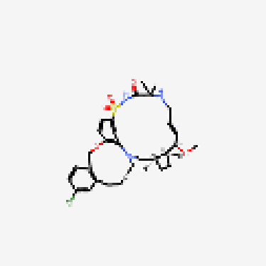 CO[C@@H]1/C=C/CNC(C)(C)C(=O)NS(=O)(=O)c2ccc3c(c2)N(CCCCc2cc(Cl)ccc2CO3)C[C@@H]2CC[C@H]21